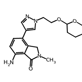 CN1Cc2c(-c3cnn(CCOC4CCCCO4)c3)ccc(N)c2C1=O